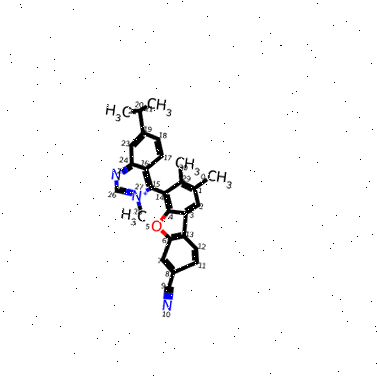 Cc1cc2c(oc3cc(C#N)ccc32)c(-c2c3ccc(C(C)C)cc3nc[n+]2C)c1C